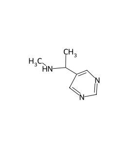 CNC(C)c1cncnc1